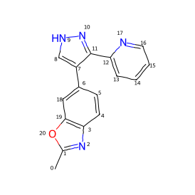 Cc1nc2ccc(-c3c[nH]nc3-c3ccccn3)cc2o1